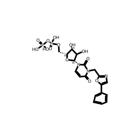 O=c1ccn([C@@H]2O[C@H](COP(=O)(O)OP(=O)(O)O)[C@H](O)C2O)c(=O)n1Cc1ncc(-c2ccccc2)o1